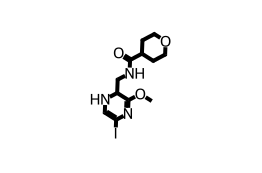 COC1=NC(I)=CNC1CNC(=O)C1CCOCC1